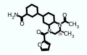 CC(=O)N1C2CCC(C3CCCC(C(N)=O)C3)CC2N(C(=O)c2ccco2)C[C@@H]1C